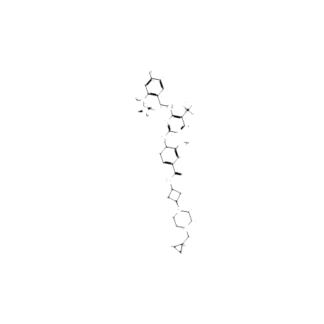 COC1=CC(C(=O)NC2CC(N3CCN(CC4CC4)CC3)C2)=CCC1Nc1ncc(C(F)(F)F)c(NCc2ccc(C)cc2N(C)S(C)(=O)=O)n1